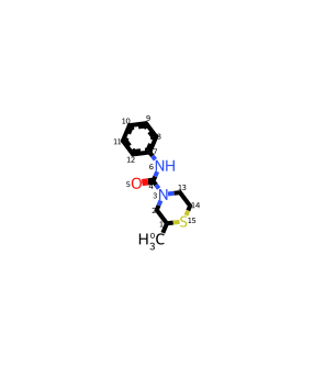 CC1CN(C(=O)Nc2ccccc2)CCS1